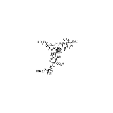 CC(=O)Oc1ccc2c(=O)c(C(=O)NC(C(=O)N[C@@H]3C(=O)N4C(C(=O)O)=C(CSc5nnnn5CC(=O)O)CS[C@H]34)c3ccc(OCC(=O)O)cc3)c(C)oc2c1OC(C)=O